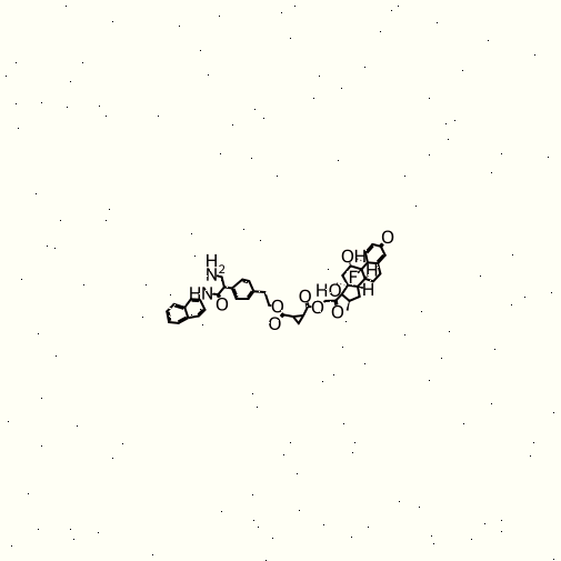 C[C@@H]1C[C@H]2[C@@H]3CCC4=CC(=O)C=C[C@]4(C)[C@@]3(F)[C@@H](O)C[C@]2(C)[C@@]1(O)C(=O)COC(=O)C1CC1C(=O)OCCc1ccc(C(CN)C(=O)Nc2ccc3ccccc3c2)cc1